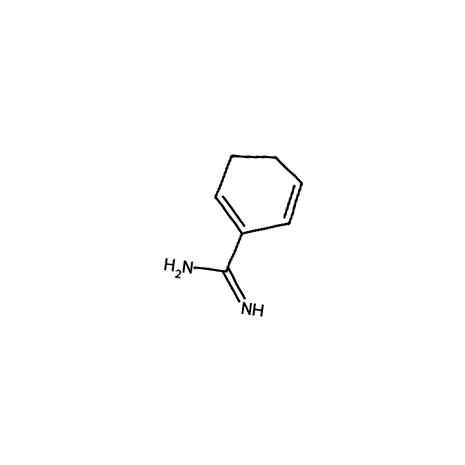 N=C(N)C1=CCCC=C1